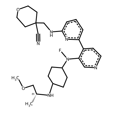 COC[C@@H](C)NC1CCC(N(F)c2cnccc2-c2cccc(NCC3(C#N)CCOCC3)n2)CC1